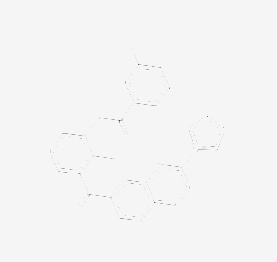 O=C(Nc1cccc(C(=O)c2ccc3ncc(-n4ccnc4)nc3c2)c1F)c1cccc(F)c1